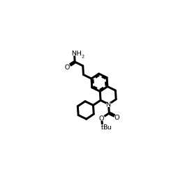 CC(C)(C)OC(=O)N1CCc2ccc(CCC(N)=O)cc2C1C1CCCCC1